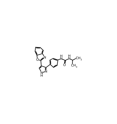 CC(C)NC(=O)Nc1ccc(-c2n[nH]cc2-c2nc3ccccc3o2)cc1